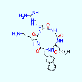 N=C(N)NCC/C=C1\NC(=O)/C(=C\CCCN)NC(=O)[C@@H](Cc2ccc3ccccc3c2)NC(=O)/C(=C\C(=O)O)NC(=O)CNC1=O